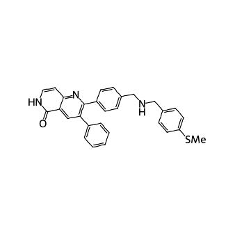 CSc1ccc(CNCc2ccc(-c3nc4cc[nH]c(=O)c4cc3-c3ccccc3)cc2)cc1